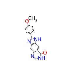 COc1ccc(-c2nc3cc4nc[nH]c(=O)c4cc3[nH]2)cc1